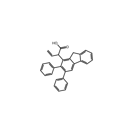 C=CC(C(=O)O)c1c2c(cc(-c3ccccc3)c1-c1ccccc1)-c1ccccc1C2